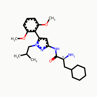 COc1cccc(OC)c1-c1cc(NC(=O)[C@@H](N)CC2CCCCC2)nn1CC(C)C